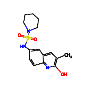 Cc1cc2cc(NS(=O)(=O)N3CCCCC3)ccc2nc1O